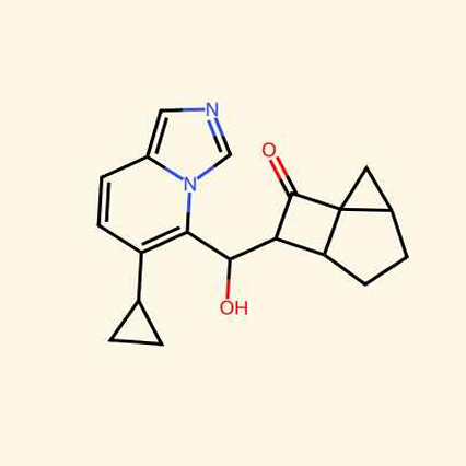 O=C1C(C(O)c2c(C3CC3)ccc3cncn23)C2CCC3CC132